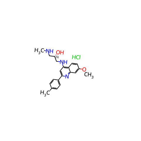 CNC[C@H](O)CNc1cc(-c2ccc(C)cc2)nc2cc(OC)ccc12.Cl